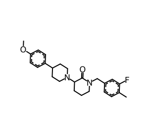 COc1ccc(C2CCN(C3CCCN(Cc4ccc(C)c(F)c4)C3=O)CC2)cc1